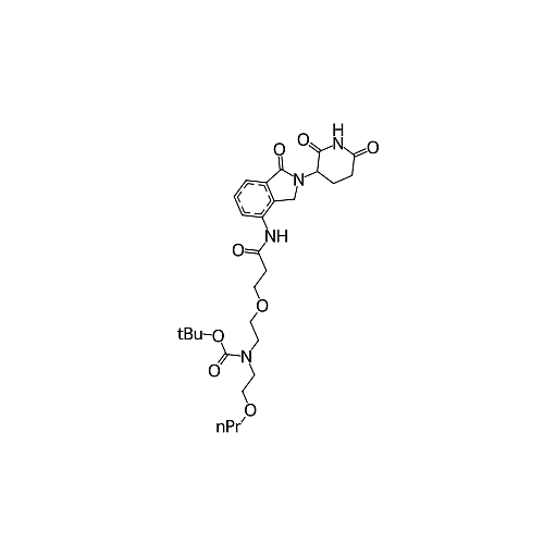 CCCOCCN(CCOCCC(=O)Nc1cccc2c1CN(C1CCC(=O)NC1=O)C2=O)C(=O)OC(C)(C)C